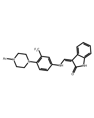 CC(=O)N1CCN(c2ccc(NC=C3C(=O)Nc4ccccc43)cc2C(F)(F)F)CC1